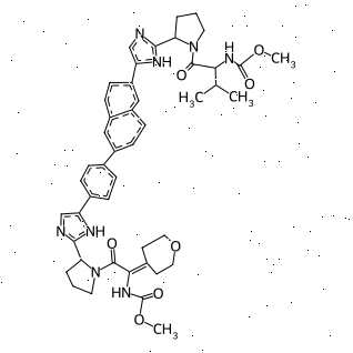 COC(=O)NC(C(=O)N1CCCC1c1ncc(-c2ccc(-c3ccc4cc(-c5cnc(C6CCCN6C(=O)C(NC(=O)OC)C(C)C)[nH]5)ccc4c3)cc2)[nH]1)=C1CCOCC1